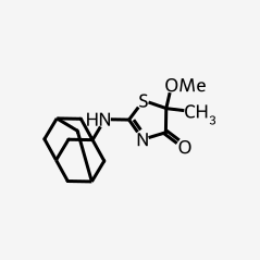 COC1(C)SC(NC23CC4CC(CC(C4)C2)C3)=NC1=O